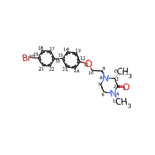 C[C@@H]1C(=O)N(C)CCN1CCOc1ccc(-c2ccc(Br)cc2)cc1